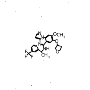 COc1cc2c(cc1O[C@H]1CCOC1)c(NC(C)c1cccc(C(F)(F)F)c1)nc1ccnn12